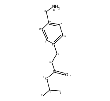 CC(C)OC(=O)CCc1ccc(CN)cc1